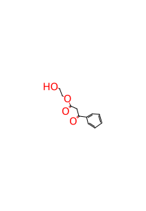 O=C(CC(=O)c1ccccc1)OCCO